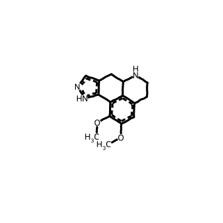 COc1cc2c3c(c1OC)-c1[nH]ncc1CC3NCC2